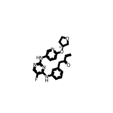 C=CC(=O)Cc1cccc(Nc2nc(Nc3ccc(O[C@H]4CCOC4)nc3)ncc2F)c1